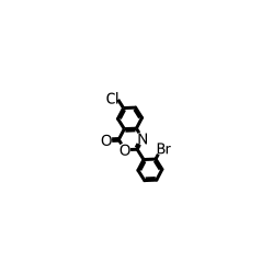 O=c1oc(-c2ccccc2Br)nc2ccc(Cl)cc12